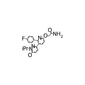 CC(C)n1nc(-c2ccc(OCC(N)=O)nc2-c2ccc(F)cc2)ccc1=O